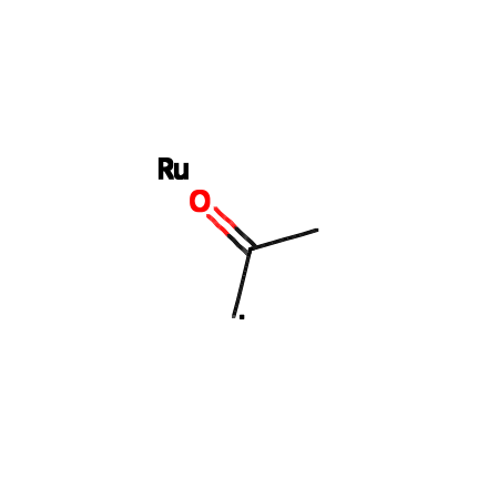 [CH2]C(C)=O.[Ru]